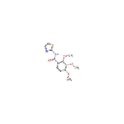 COc1ccc(C(=O)Nc2nccs2)c(OC)c1OC